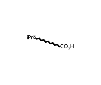 CC(C)SCCCCCCCCCCCC(=O)O